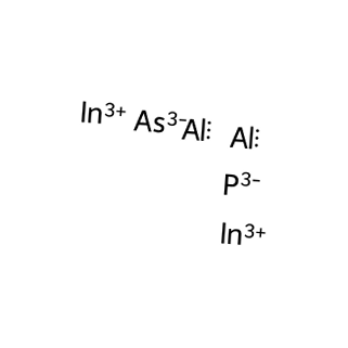 [Al].[Al].[As-3].[In+3].[In+3].[P-3]